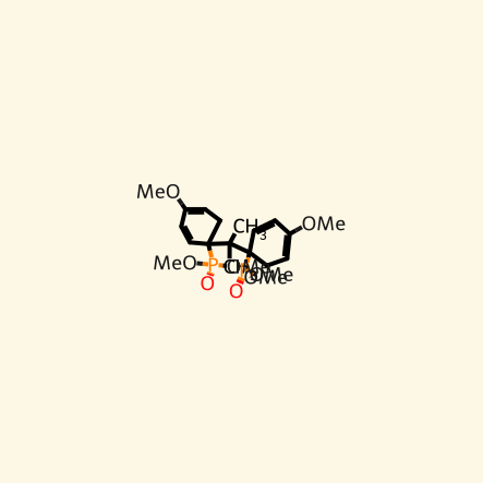 COC1=CCC(C(C)(C)C2(P(=O)(OC)OC)C=CC(OC)=CC2)(P(=O)(OC)OC)C=C1